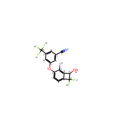 N#Cc1cc(OC2=C=C=C3C(=C2I)C(O)C3(F)F)cc(C(F)(F)F)c1